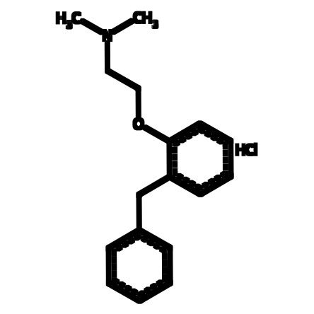 CN(C)CCOc1ccccc1Cc1ccccc1.Cl